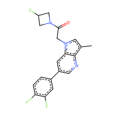 Cc1cn(CC(=O)N2CC(F)C2)c2cc(-c3ccc(F)c(F)c3)cnc12